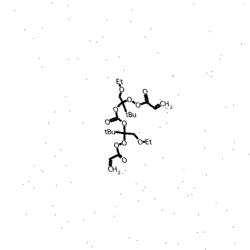 C=CC(=O)OOC(COCC)(OC(=O)OC(COCC)(OOC(=O)C=C)C(C)(C)C)C(C)(C)C